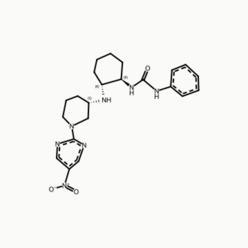 O=C(Nc1ccccc1)N[C@@H]1CCCC[C@H]1N[C@H]1CCCN(c2ncc([N+](=O)[O-])cn2)C1